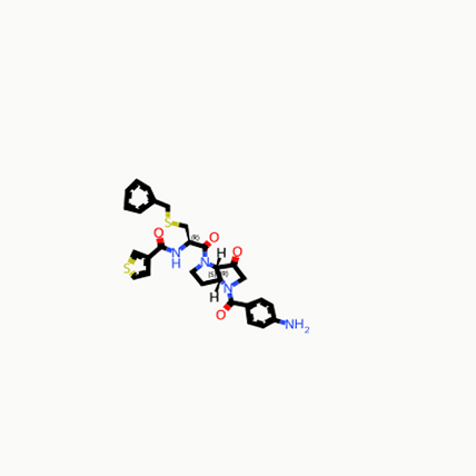 Nc1ccc(C(=O)N2CC(=O)[C@@H]3[C@H]2CCN3C(=O)[C@H](CSCc2ccccc2)NC(=O)c2ccsc2)cc1